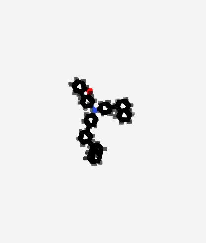 c1cc(-c2ccc(N(c3ccc(-c4cccc5ccccc45)cc3)c3ccc4c(c3)oc3ccccc34)cc2)cc(C2C3CC4CC(C3)CC2C4)c1